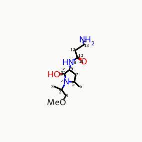 COCC(C)N1C(C)CC(NC(=O)CCN)C1O